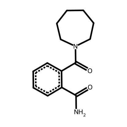 NC(=O)c1ccccc1C(=O)N1CCCCCC1